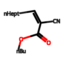 CCCCCCCC=C(C#N)C(=O)OCCCC